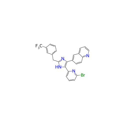 FC(F)(F)c1cccc(Cc2nc(-c3ccc4ncccc4c3)c(-c3cccc(Br)n3)[nH]2)c1